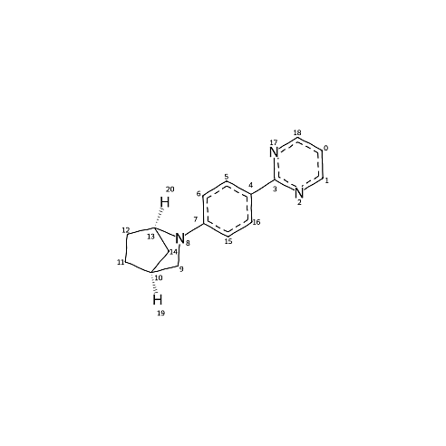 c1cnc(-c2ccc(N3C[C@H]4CC[C@@H]3C4)cc2)nc1